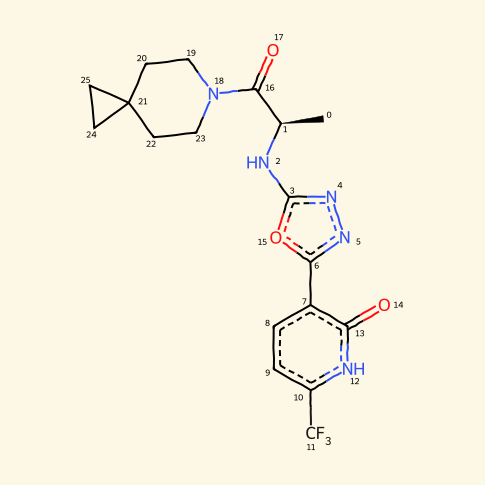 C[C@@H](Nc1nnc(-c2ccc(C(F)(F)F)[nH]c2=O)o1)C(=O)N1CCC2(CC1)CC2